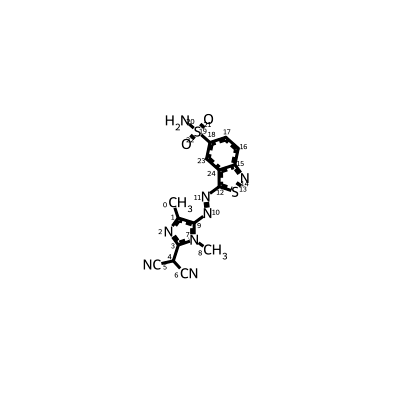 Cc1nc(C(C#N)C#N)n(C)c1/N=N/c1snc2ccc(S(N)(=O)=O)cc12